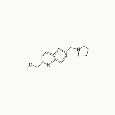 COCc1ccc2cc(CN3CCCC3)ccc2n1